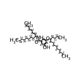 CCCCCCCCCC(CCCC)Oc1cc(O)cc(C(=O)NC(CCCCCCC)CCCCCCCC)c1